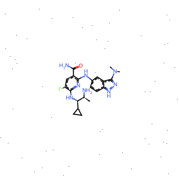 C[C@H](N)[C@H](Nc1nc(Nc2ccc3[nH]nc(N(C)C)c3c2)c(C(N)=O)cc1F)C1CC1